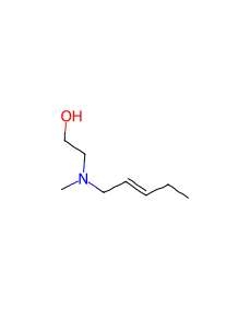 CC/C=C/CN(C)CCO